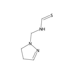 S=CNCN1CCC=N1